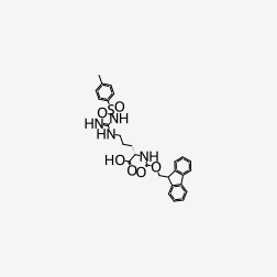 Cc1ccc(S(=O)(=O)NC(=N)NCCC[C@H](NC(=O)OCC2c3ccccc3-c3ccccc32)C(=O)O)cc1